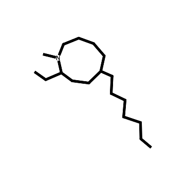 CCCCCCCC1CCCCN(C)C(CC)CC1